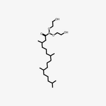 CC(C)CCCC(C)CCCC(C)CCCC(C)CC(=O)N(OCCO)OCCO